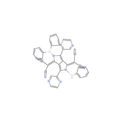 N#CC(C#N)=c1c2c(-c3cnccn3)n(B(c3ccccc3)c3ccccc3)c(=C(C#N)C#N)c2c(-c2cnccn2)n1Bc1ccccc1